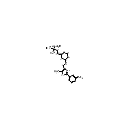 Cc1oc(-c2cccc(C(F)(F)F)c2)nc1COC1CCCC(CCC(C)(C)C(=O)O)C1